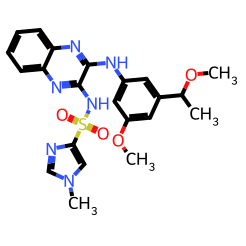 COc1cc(Nc2nc3ccccc3nc2NS(=O)(=O)c2cn(C)cn2)cc(C(C)OC)c1